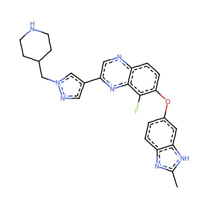 Cc1nc2ccc(Oc3ccc4ncc(-c5cnn(CC6CCNCC6)c5)nc4c3F)cc2[nH]1